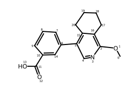 COc1ncc(-c2cccc(C(=O)O)c2)c2c1CCCC2